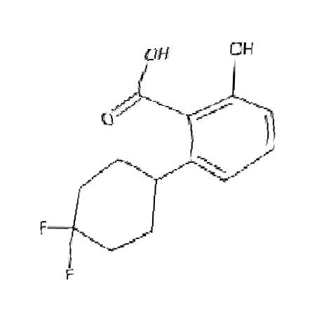 O=C(O)c1c(O)cccc1C1CCC(F)(F)CC1